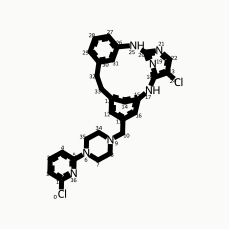 Clc1cccc(N2CCN(Cc3cc4cc(c3)Nc3nc(ncc3Cl)Nc3cccc(c3)CC4)CC2)n1